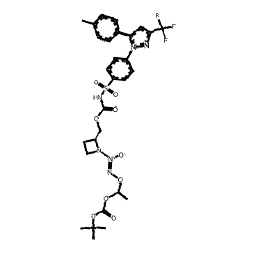 Cc1ccc(-c2cc(C(F)(F)F)nn2-c2ccc(S(=O)(=O)NC(=O)OC[C@@H]3CCN3[N+]([O-])=NOC(C)OC(=O)OC(C)(C)C)cc2)cc1